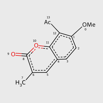 COc1ccc2cc(C)c(=O)oc2c1C(C)=O